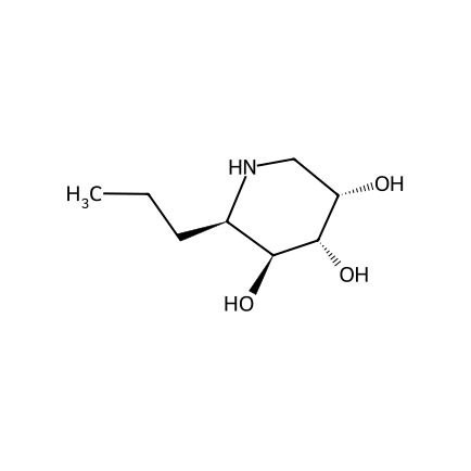 CCC[C@H]1NC[C@H](O)[C@H](O)[C@H]1O